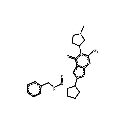 CN1CC[C@H](n2c(C(F)(F)F)nc3sc(N4CCC[C@@H]4C(=O)NCc4ccccc4)nc3c2=O)C1